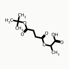 CC(OC(=O)CCC(=O)OC(C)(C)C)C(=O)O